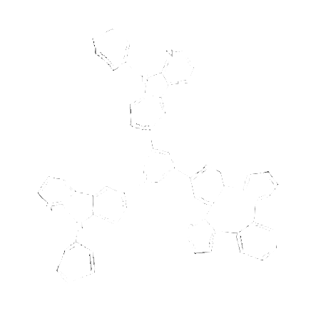 c1ccc(-n2c3ccc(-c4cc(-c5ccc6c(c5)-c5ccccc5-c5ccccc5-c5ccccc5-6)cc(-c5ccc6c(c5)c5cccnc5n6-c5ccccc5)c4)cc3c3cccnc32)cc1